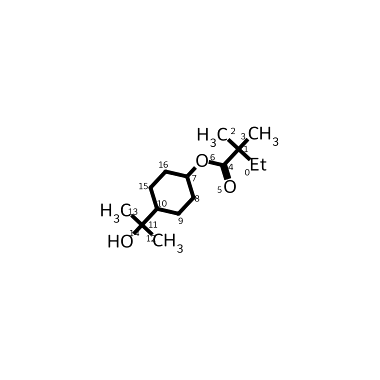 CCC(C)(C)C(=O)OC1CCC(C(C)(C)O)CC1